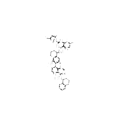 CCCCCCOc1cnc2c(NC3CCCc4ccccc43)ncnc2c1-c1ccc2c(c1)CCCC2Nc1nc(-n2nc(C)cc2C)nc2cc(C)cnc12